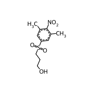 Cc1cc(S(=O)(=O)CCCO)cc(C)c1[N+](=O)[O-]